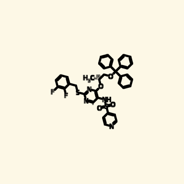 C[C@H](COC(c1ccccc1)(c1ccccc1)c1ccccc1)Oc1nc(SCc2cccc(F)c2F)n[c]c1NS(=O)(=O)c1ccncc1